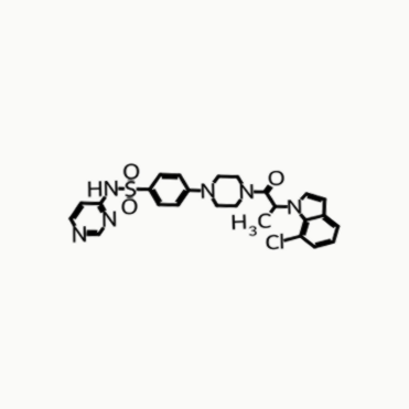 CC(C(=O)N1CCN(c2ccc(S(=O)(=O)Nc3ccncn3)cc2)CC1)n1ccc2cccc(Cl)c21